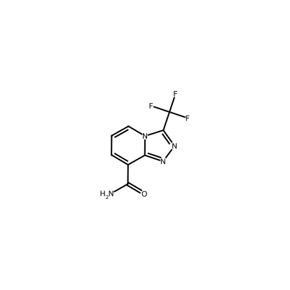 NC(=O)c1cccn2c(C(F)(F)F)nnc12